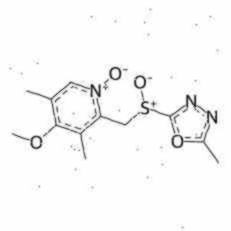 COc1c(C)c[n+]([O-])c(C[S+]([O-])c2nnc(C)o2)c1C